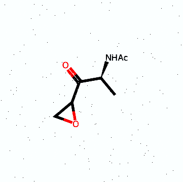 CC(=O)N[C@@H](C)C(=O)C1CO1